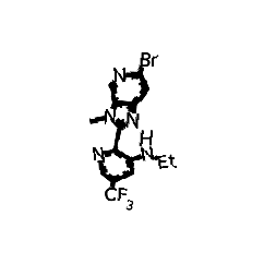 CCNc1cc(C(F)(F)F)cnc1-c1nc2cc(Br)ncc2n1C